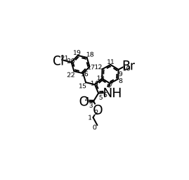 CCOC(=O)c1[nH]c2cc(Br)ccc2c1Cc1cccc(Cl)c1